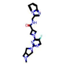 CN1CC2CN(c3ncc(F)c(N4CC(C(=O)NCc5cnc6ccccn56)C4)n3)CC21